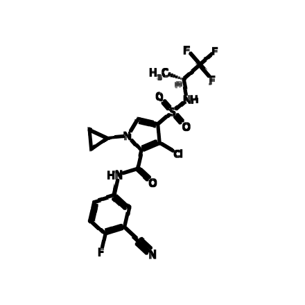 C[C@@H](NS(=O)(=O)c1cn(C2CC2)c(C(=O)Nc2ccc(F)c(C#N)c2)c1Cl)C(F)(F)F